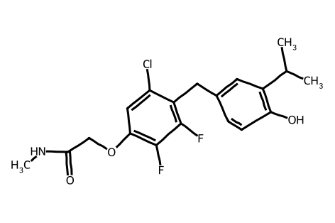 CNC(=O)COc1cc(Cl)c(Cc2ccc(O)c(C(C)C)c2)c(F)c1F